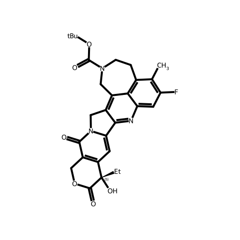 CC[C@@]1(O)C(=O)OCc2c1cc1n(c2=O)Cc2c-1nc1cc(F)c(C)c3c1c2CN(C(=O)OC(C)(C)C)CC3